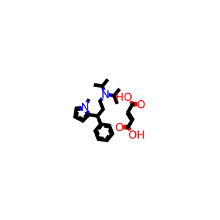 CC(C)N(CCC(c1ccccc1)c1cccn1C)C(C)C.O=C(O)C=CC(=O)O